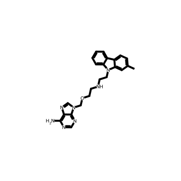 Cc1ccc2c3ccccc3n(CCNCCOCn3cnc4c(N)ncnc43)c2c1